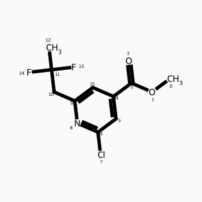 COC(=O)c1cc(Cl)nc(CC(C)(F)F)c1